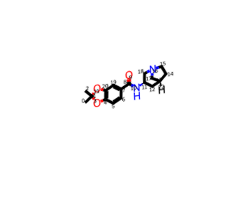 CC1(C)Oc2ccc(C(=O)N[C@@H]3C[C@H]4CCN(C4)C3)cc2O1